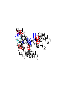 C=CC[C@H](NC(=O)OC(C)(C)C)c1nc(-c2ccc(NC(=O)OC)cc2N=C(C(=O)OC)C(F)(F)F)cn1COCC[Si](C)(C)C